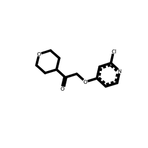 O=C(COc1ccnc(Cl)c1)C1CCOCC1